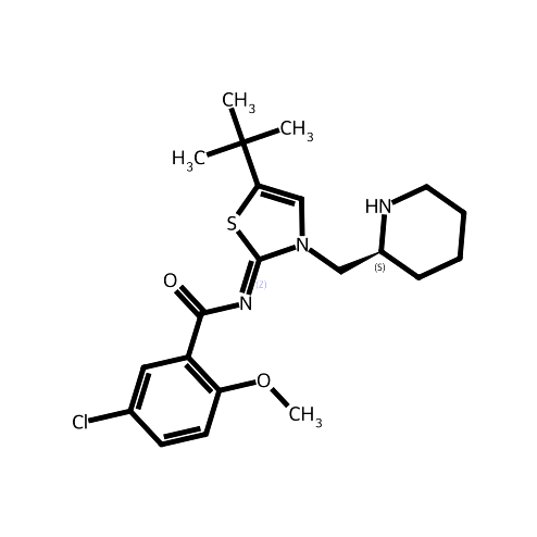 COc1ccc(Cl)cc1C(=O)/N=c1\sc(C(C)(C)C)cn1C[C@@H]1CCCCN1